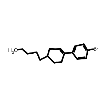 CCCCCC1CC=C(c2ccc(Br)cc2)CC1